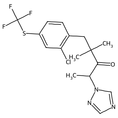 CC(C(=O)C(C)(C)Cc1ccc(SC(F)(F)F)cc1Cl)n1cncn1